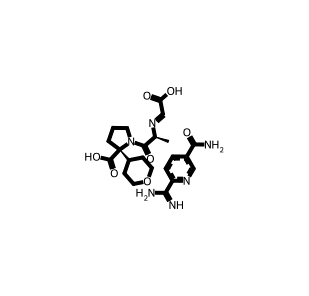 C[C@H](N=CC(=O)O)C(=O)N1CCC[C@]1(C(=O)O)C1CCOCC1.N=C(N)c1ccc(C(N)=O)cn1